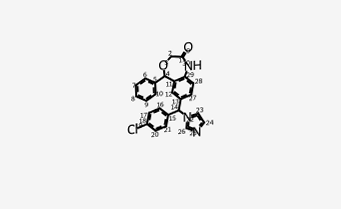 O=C1COC(c2ccccc2)c2cc(C(c3ccc(Cl)cc3)n3ccnc3)ccc2N1